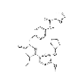 CCC1CC(=O)N(Cc2ccc(NC(=O)c3ccno3)cc2)N=C1c1ccc(OC)c(OC2CCCC2)c1